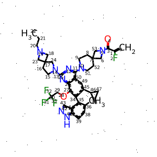 C=C(F)C(=O)N1CC2(CCN(c3nc(N4CCC5(CN(CCC)C5)C4)nc4c(OCC(F)(F)F)c(-c5c(C)ccc6[nH]ncc56)c(C5CC5)cc34)CC2)C1